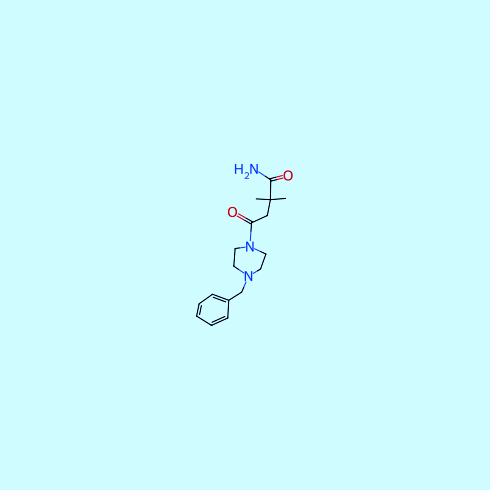 CC(C)(CC(=O)N1CCN(Cc2ccccc2)CC1)C(N)=O